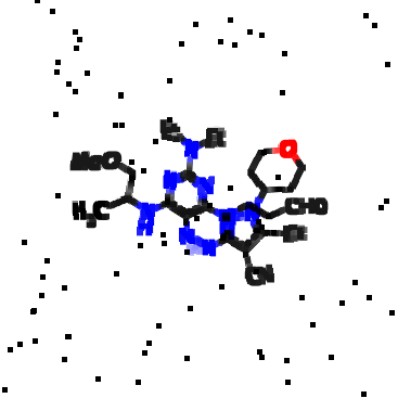 CCc1c(C#N)c(/N=N\c2c(NCCC=O)nc(N(CC)CC)nc2NC(C)COC)nn1C1CCOCC1